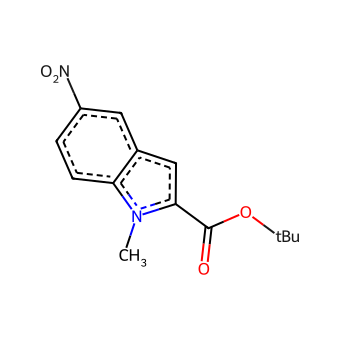 Cn1c(C(=O)OC(C)(C)C)cc2cc([N+](=O)[O-])ccc21